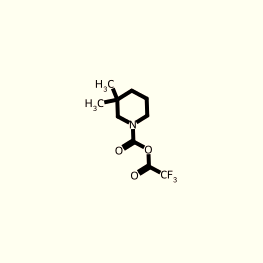 CC1(C)CCCN(C(=O)OC(=O)C(F)(F)F)C1